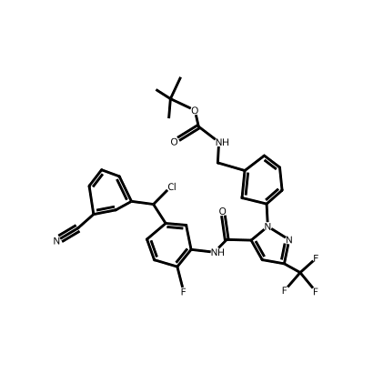 CC(C)(C)OC(=O)NCc1cccc(-n2nc(C(F)(F)F)cc2C(=O)Nc2cc(C(Cl)c3cccc(C#N)c3)ccc2F)c1